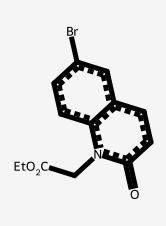 CCOC(=O)Cn1c(=O)ccc2cc(Br)ccc21